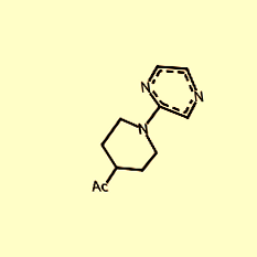 CC(=O)C1CCN(c2cnccn2)CC1